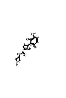 O=C(NC1CNC1)[C@@H]1CCC(c2c(O)ccc(Cl)c2Cl)N1